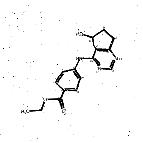 CCOC(=O)c1ccc(Nc2ncnc3c2C(O)CC3)cc1